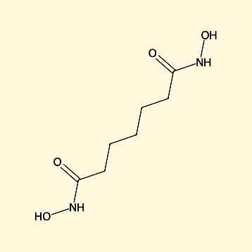 O=C(CCCCCC(=O)NO)NO